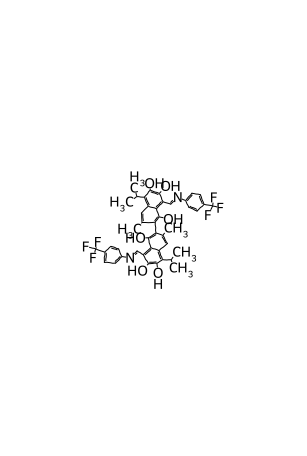 Cc1cc2c(C(C)C)c(O)c(O)c(/C=N/c3ccc(C(F)(F)F)cc3)c2c(O)c1-c1c(C)cc2c(C(C)C)c(O)c(O)c(/C=N/c3ccc(C(F)(F)F)cc3)c2c1O